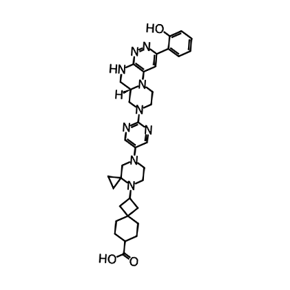 O=C(O)C1CCC2(CC1)CC(N1CCN(c3cnc(N4CCN5c6cc(-c7ccccc7O)nnc6NC[C@H]5C4)nc3)CC13CC3)C2